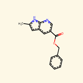 Cc1cc2cc(C(=O)OCc3ccccc3)cnc2[nH]1